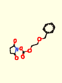 O=C(OCCOCc1ccccc1)ON1C(=O)CCC1=O